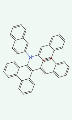 c1ccc2cc(-c3c(N(c4ccc5ccccc5c4)c4ccc5ccccc5c4)c4ccccc4c4ccccc34)ccc2c1